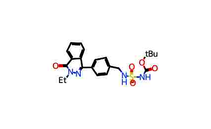 CCn1nc(-c2ccc(CNS(=O)(=O)NC(=O)OC(C)(C)C)cc2)c2ccccc2c1=O